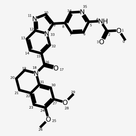 COC(=O)Nc1ccc(-c2cnc3ccc(C(=O)N4CCCc5cc(OC)c(OC)cc54)cn23)cn1